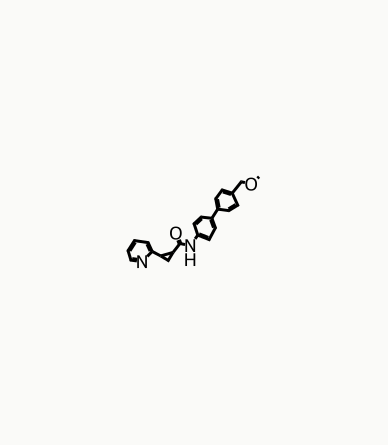 COCc1ccc(-c2ccc(NC(=O)C3CC3c3ccccn3)cc2)cc1